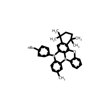 CCCCc1ccc(N2c3ccc(C)cc3B3c4ccccc4Oc4c3c2cc2c4C(C)(C)CCC2(C)C)cc1